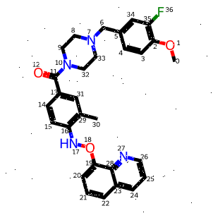 COc1ccc(CN2CCN(C(=O)c3ccc(NOc4cccc5cccnc45)c(C)c3)CC2)cc1F